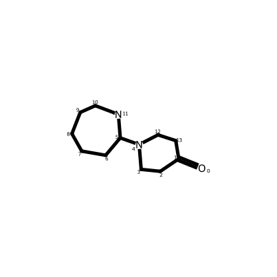 O=C1CCN(C2CCCCC[N]2)CC1